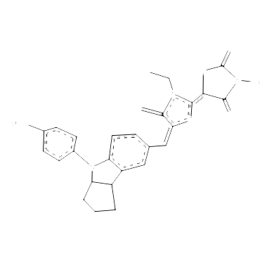 CCCCN1C(=O)/C(=c2\s/c(=C/c3ccc4c(c3)C3CCCC3N4c3ccc(OC)cc3)c(=O)n2CC(=O)OCC)SC1=S